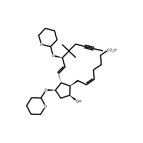 CC#CCC(C)(C)[C@@H](/C=C/[C@@H]1[C@@H](C/C=C\CCCC(=O)O)[C@@H](O)C[C@H]1OC1CCCCO1)OC1CCCCO1